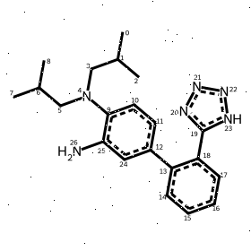 CC(C)CN(CC(C)C)c1ccc(-c2ccccc2-c2nnn[nH]2)cc1N